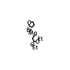 C1CCOC1.CCOC(C[CH2][Mg][Br])OCC